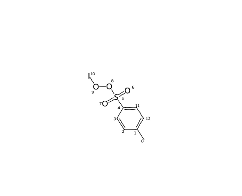 Cc1ccc(S(=O)(=O)OOI)cc1